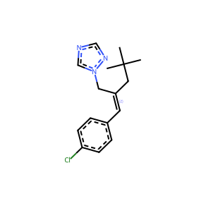 CC(C)(C)C/C(=C/c1ccc(Cl)cc1)Cn1cncn1